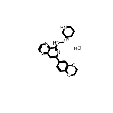 Cl.c1cnc2c(NC[C@H]3CCCNC3)nc(-c3ccc4c(c3)OCCO4)cc2n1